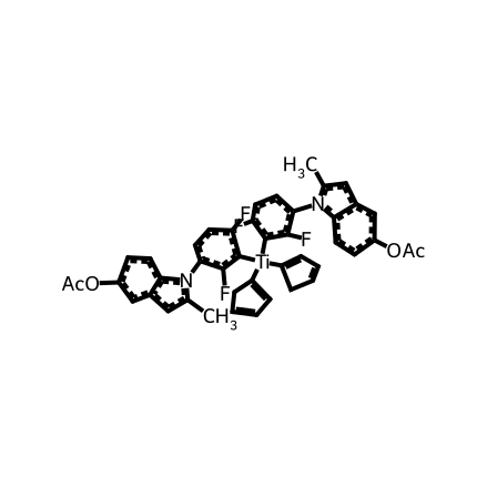 CC(=O)Oc1ccc2c(c1)cc(C)n2-c1ccc(F)[c]([Ti]([C]2=CC=CC2)([C]2=CC=CC2)[c]2c(F)ccc(-n3c(C)cc4cc(OC(C)=O)ccc43)c2F)c1F